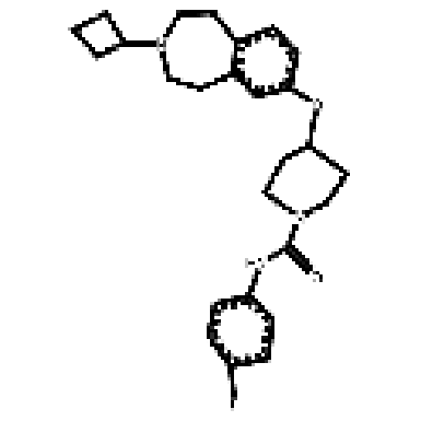 O=C(Nc1ccc(F)cc1)N1CCC(Oc2ccc3c(c2)CCN(C2CCC2)CC3)CC1